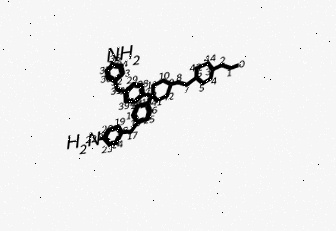 CCCC1CCC(CCC2CCC(c3ccc(Cc4ccc(N)cc4)cc3)(c3ccc(Cc4ccc(N)cc4)cc3)CC2)CC1